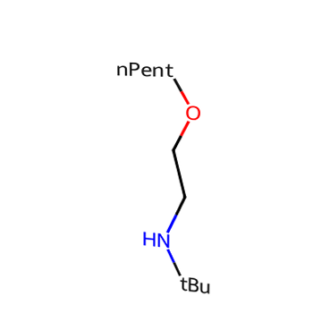 CCCCCOCCNC(C)(C)C